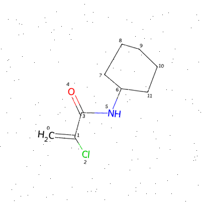 C=C(Cl)C(=O)NC1CCCCC1